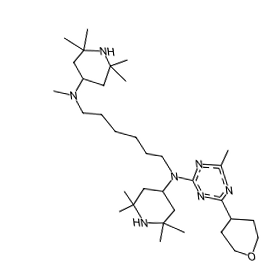 Cc1nc(C2CCOCC2)nc(N(CCCCCCN(C)C2CC(C)(C)NC(C)(C)C2)C2CC(C)(C)NC(C)(C)C2)n1